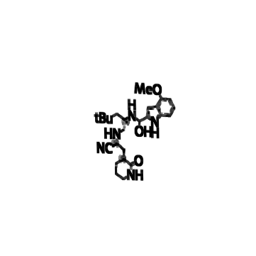 COc1cccc2[nH]c(C(O)N[C@H](CN[C@H](C#N)C[C@@H]3CCCNC3=O)CC(C)(C)C)cc12